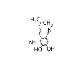 CC(C)C/C=C/c1c(C#N)cc(O)c(O)c1C#N